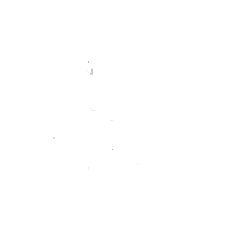 CC(C)c1ccc2c(c1)[C@@H](N)CC(C)(C)O2